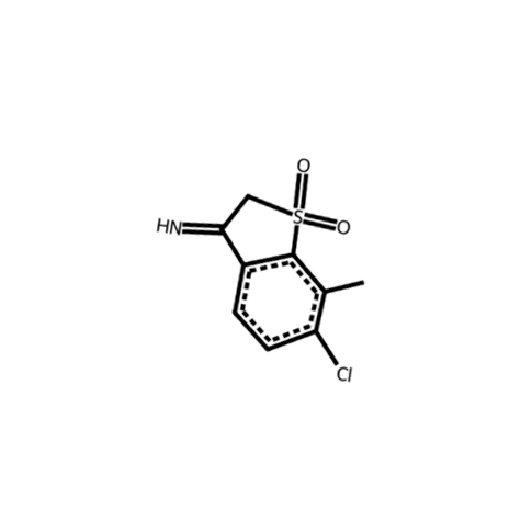 Cc1c(Cl)ccc2c1S(=O)(=O)CC2=N